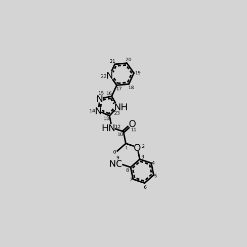 CC(Oc1ccccc1C#N)C(=O)Nc1nnc(-c2ccccn2)[nH]1